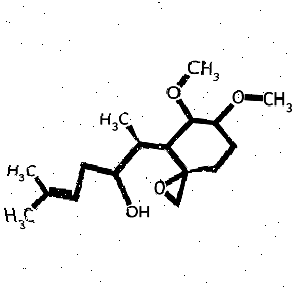 COC1CC[C@]2(CO2)C([C@H](C)C(O)CC=C(C)C)C1OC